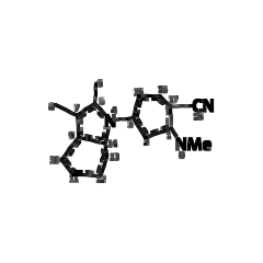 CNc1cc(-n2c(C)c(C)c3ccccc32)ccc1C#N